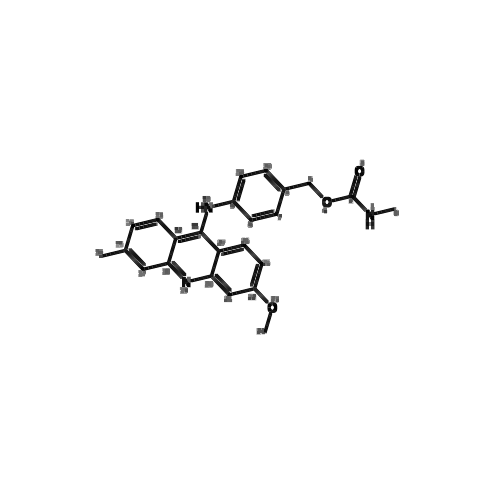 CNC(=O)OCc1ccc(Nc2c3ccc(C)cc3nc3cc(OC)ccc23)cc1